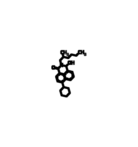 CCCCC(C)CN1C(=O)c2ccc(C3CCCCC3)c3cccc(c23)C1O